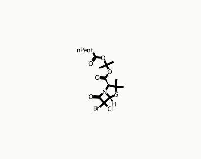 CCCCCC(=O)OC(C)(C)OC(=O)[C@@H]1N2C(=O)C(Cl)(Br)[C@H]2SC1(C)C